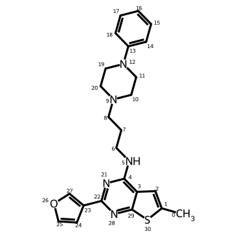 Cc1cc2c(NCCCN3CCN(c4ccccc4)CC3)nc(-c3ccoc3)nc2s1